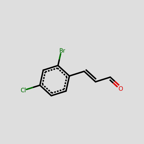 O=C/C=C/c1ccc(Cl)cc1Br